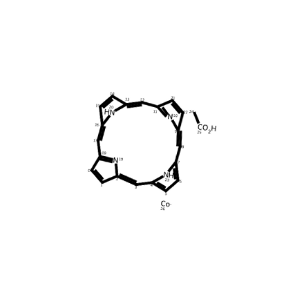 C1=Cc2cc3ccc(cc4nc(cc5ccc(cc1n2)[nH]5)C=C4)[nH]3.CC(=O)O.[Co]